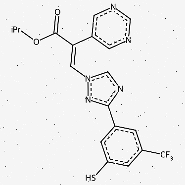 CC(C)OC(=O)/C(=C/n1cnc(-c2cc(S)cc(C(F)(F)F)c2)n1)c1cncnc1